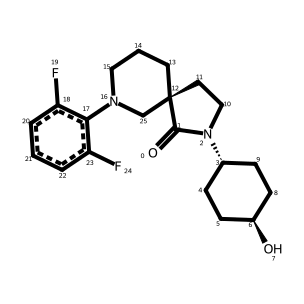 O=C1N([C@H]2CC[C@H](O)CC2)CC[C@@]12CCCN(c1c(F)cccc1F)C2